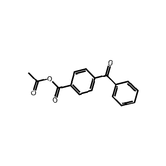 CC(=O)OC(=O)c1ccc(C(=O)c2ccccc2)cc1